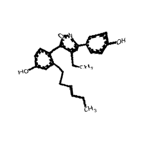 CCCCCCc1cc(O)ccc1-c1onc(-c2ccc(O)cc2)c1CC